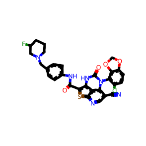 N#Cc1cnc2sc(C(=O)Nc3ccc(CN4CCCC(F)C4)cc3)c3c2c1N(c1c(Cl)ccc2c1OCO2)C(=O)N3